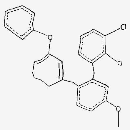 COc1ccc(C2=CC(Oc3ccccc3)=CC[CH]2)c(-c2cccc(Cl)c2Cl)c1